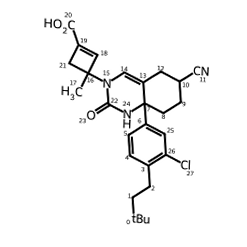 CC(C)(C)CCc1ccc(C23CCC(C#N)CC2=CN(C2(C)C=C(C(=O)O)C2)C(=O)N3)cc1Cl